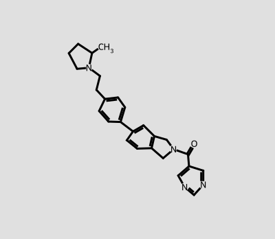 CC1CCCN1CCc1ccc(-c2ccc3c(c2)CN(C(=O)c2cncnc2)C3)cc1